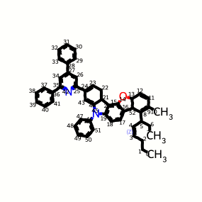 CCC/C=C\C(CC)C1=C(C)C=CC2Oc3c(ccc4c3C3CC=C(c5cc(-c6ccccc6)cc(-c6ccccc6)n5)C=C3N4c3ccccc3)C12